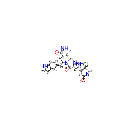 COc1cc(-c2cc(C(=O)N3CCC(C(N)=O)CC3Cc3ccc4[nH]ccc4c3)n[nH]2)c(Cl)cn1